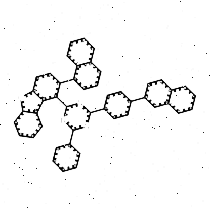 c1ccc(-c2nc(-c3ccc(-c4ccc5ccccc5c4)cc3)nc(-c3c(-c4cccc5ccccc45)ccc4oc5ccccc5c34)n2)cc1